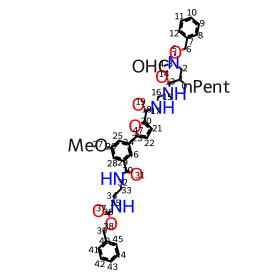 CCCCC[C@H](CN(C=O)OCc1ccccc1)C(=O)NCNC(=O)c1ccc(-c2cc(OC)cc(C(=O)NCCNC(=O)OCc3ccccc3)c2)o1